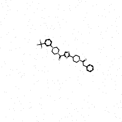 O=C(Cc1ccccc1)N1CCC(c2nc(C(=O)N3CCN(c4cccc(C(F)(F)F)c4)CC3)cs2)CC1